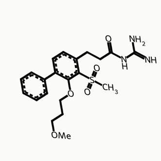 COCCCOc1c(-c2ccccc2)ccc(CCC(=O)NC(=N)N)c1S(C)(=O)=O